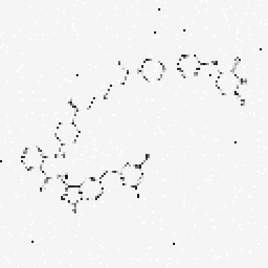 O=C1CCC(Nc2ccc(N3CCN(C(=O)CCOCCC(=O)N4CCC(Nc5ccccc5C(=O)Nc5n[nH]c6ccc(Cc7cc(F)cc(F)c7)cc56)CC4)CC3)cc2)C(=O)N1